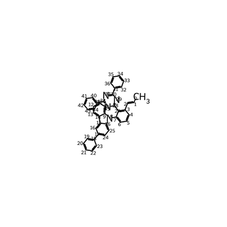 C/C=C/c1cccc(-n2c3ccccc3c3cc(-c4ccccc4)ccc32)c1-c1nc(-c2ccccc2)nc(-c2ccccc2)n1